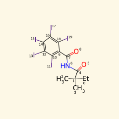 CCC(C)(C)C(=O)NC(=O)c1c(I)c(I)c(I)c(I)c1I